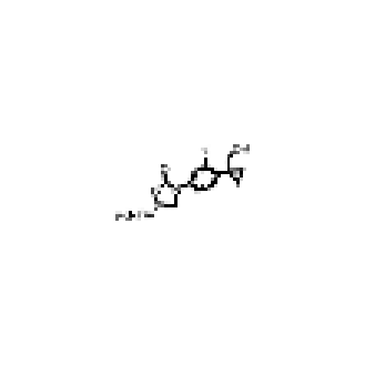 CC(=O)NC[C@H]1CN(c2ccc(C3(CO)CC3)c(F)c2)C(=O)O1